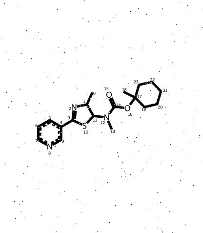 CC1N=C(c2cccnc2)SC1N(C)C(=O)OC1(C)CCCCC1